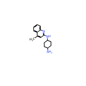 Cc1cc(NC2CCC(N)CC2)nc2ccccc12